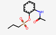 CCCS(=O)(=O)Oc1ccccc1NC(C)=O